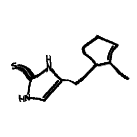 CC1=CCCC1Cc1c[nH]c(=S)[nH]1